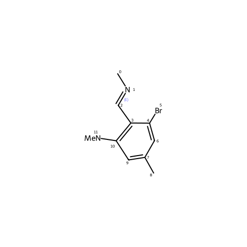 C/N=C/c1c(Br)cc(C)cc1NC